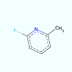 Cc1cc[c]c(F)n1